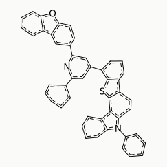 c1ccc(-c2cc(-c3cccc4c3sc3c4ccc4c3c3ccccc3n4-c3ccccc3)cc(-c3ccc4oc5ccccc5c4c3)n2)cc1